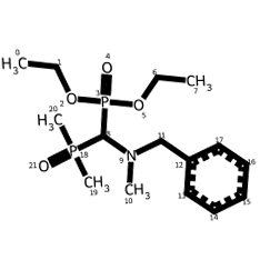 CCOP(=O)(OCC)C(N(C)Cc1ccccc1)P(C)(C)=O